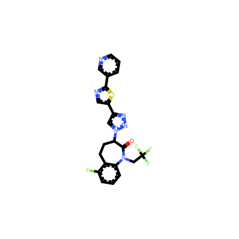 O=C1C(n2cc(-c3cnc(-c4cccnc4)s3)nn2)CCc2c(F)cccc2N1CC(F)(F)F